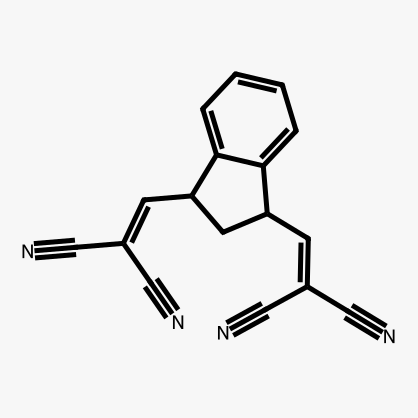 N#CC(C#N)=CC1CC(C=C(C#N)C#N)c2ccccc21